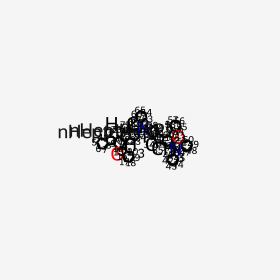 CCCCCCCC1(CCCCCCC)c2ccccc2-c2c1c1c(c3c2oc2ccccc23)-c2ccc(N(c3ccc4c(c3)C(C)(C)c3cc(N(c5ccccc5)c5ccccc5)c5oc6ccccc6c5c3-4)c3ccccc3C)cc2C1(CCCCCCC)CCCCCCC